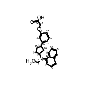 CCN(c1cccc2ccccc12)C1CCC(c2cccc(OCC(=O)O)c2)C1